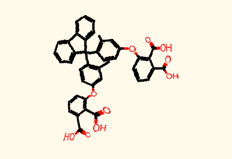 Cc1cc(Oc2cccc(C(=O)O)c2C(=O)O)ccc1C1(c2ccc(Oc3cccc(C(=O)O)c3C(=O)O)cc2C)c2ccccc2-c2ccccc21